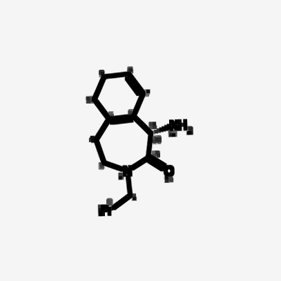 CC(C)CN1CCC2=C(C=CCC2)[C@H](N)C1=O